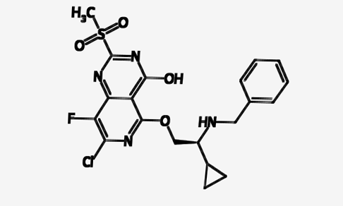 CS(=O)(=O)c1nc(O)c2c(OC[C@@H](NCc3ccccc3)C3CC3)nc(Cl)c(F)c2n1